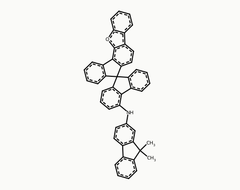 CC1(C)c2ccccc2-c2ccc(Nc3cccc4c3-c3ccccc3C43c4ccccc4-c4c3ccc3c4oc4ccccc43)cc21